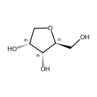 OC[C@@H]1OC[C@@H](O)[C@H]1O